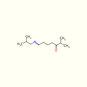 CC(C)C/N=C/CCCC(=O)C(C)C